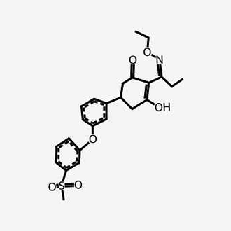 CCO/N=C(/CC)C1=C(O)CC(c2cccc(Oc3cccc(S(C)(=O)=O)c3)c2)CC1=O